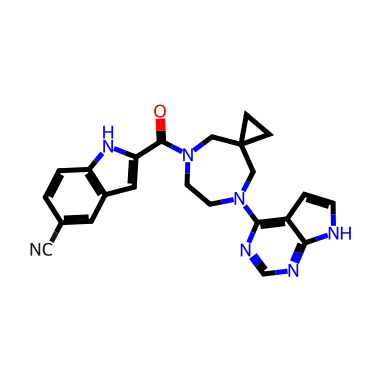 N#Cc1ccc2[nH]c(C(=O)N3CCN(c4ncnc5[nH]ccc45)CC4(CC4)C3)cc2c1